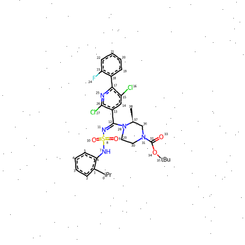 CC(C)c1ccccc1NS(=O)(=O)/N=C(/c1cc(Cl)c(-c2ccccc2F)nc1Cl)N1CCN(C(=O)OC(C)(C)C)C[C@@H]1C